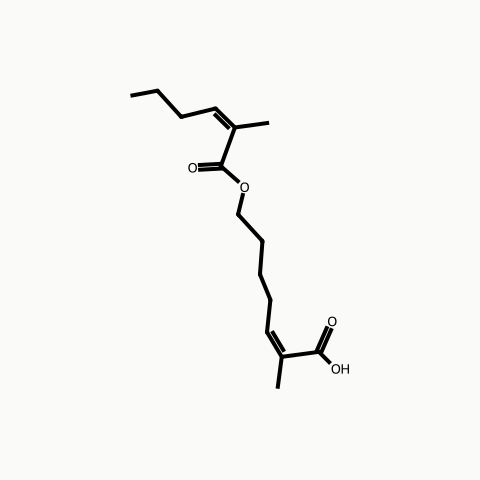 CCCC=C(C)C(=O)OCCCCC=C(C)C(=O)O